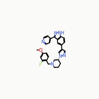 COc1ccc(CN2CCC[C@@H](n3cc(-c4ccc5[nH]nc(-c6ccncc6)c5c4)cn3)C2)c(F)c1